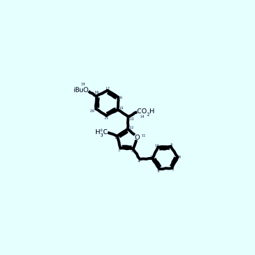 Cc1cc(Cc2ccccc2)oc1C(C(=O)O)c1ccc(OCC(C)C)cc1